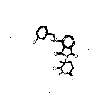 CC1(N2C(=O)c3cccc(NCc4cccc(O)c4)c3C2=O)CCC(=O)NC1=O